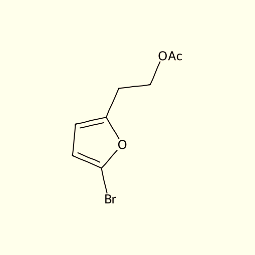 CC(=O)OCCc1ccc(Br)o1